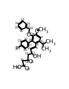 COc1cc(C(C)C)c(C=CC(O)CC(=O)CC(=O)O)c(-c2ccc(F)cc2)c1OCc1ccccc1